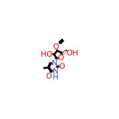 C#COC1C(O)[C@@H](n2cc(C)c(=O)[nH]c2=O)O[C@H]1CO